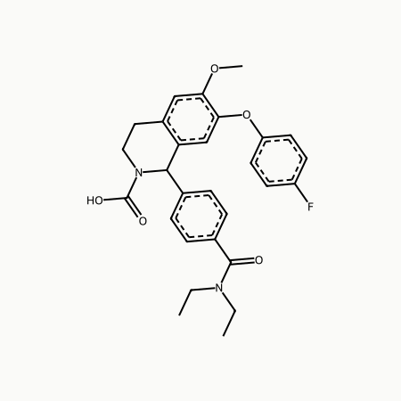 CCN(CC)C(=O)c1ccc(C2c3cc(Oc4ccc(F)cc4)c(OC)cc3CCN2C(=O)O)cc1